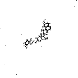 COc1ccc2ncc(Cl)c(C(F)CCC3(C(=O)O)CCN(CCCc4c(F)cccc4F)CC3)c2c1